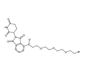 O=C1CCC(N2C(=O)c3cccc([S+]([O-])CCOCCOCCOCCBr)c3C2=O)C(=O)N1